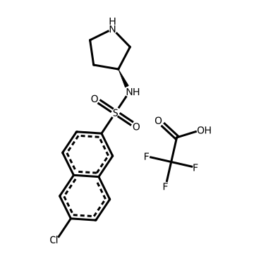 O=C(O)C(F)(F)F.O=S(=O)(N[C@H]1CCNC1)c1ccc2cc(Cl)ccc2c1